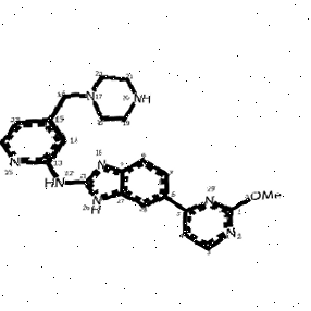 COc1nccc(-c2ccc3nc(Nc4cc(CN5CCNCC5)ccn4)[nH]c3c2)n1